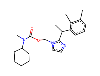 Cc1cccc(C(C)c2nccn2COC(=O)N(C)C2CCCCC2)c1C